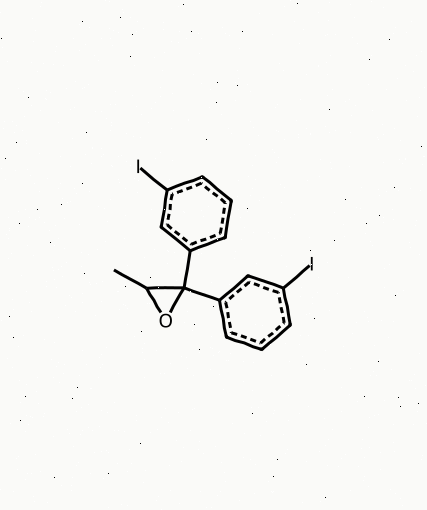 CC1OC1(c1cccc(I)c1)c1cccc(I)c1